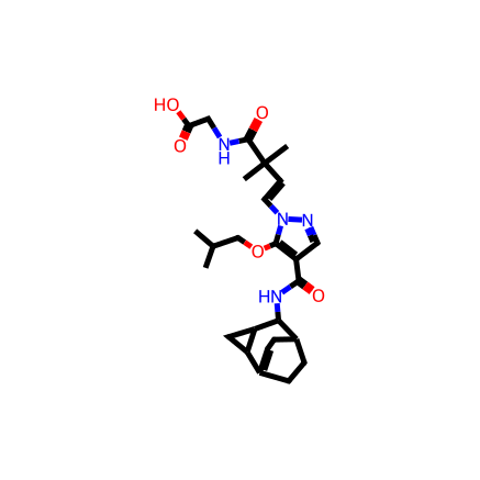 CC(C)COc1c(C(=O)NC2C3CC=C(CC3)C3CC32)cnn1/C=C/C(C)(C)C(=O)NCC(=O)O